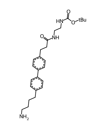 CC(C)(C)OC(=O)NCCNC(=O)CCc1ccc(-c2ccc(CCCCN)cc2)cc1